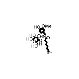 COc1cc(CNC(=O)CCCC/C=C/C(C)C)ccc1O.OC[C@H]1O[C@@H](O)[C@H](O)[C@@H](O)[C@@H]1O